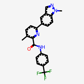 Cc1ccc(-c2ccc3c(cnn3C)c2)nc1C(=O)Nc1ccc(C(F)(F)F)cc1